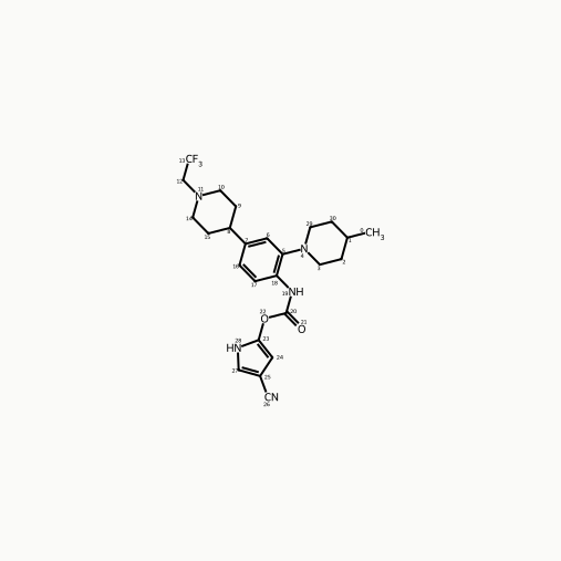 CC1CCN(c2cc(C3CCN(CC(F)(F)F)CC3)ccc2NC(=O)Oc2cc(C#N)c[nH]2)CC1